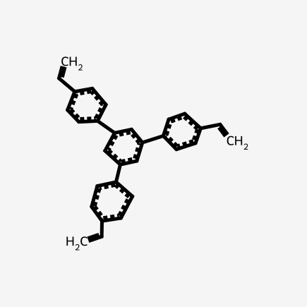 C=Cc1ccc(-c2cc(-c3ccc(C=C)cc3)cc(-c3ccc(C=C)cc3)c2)cc1